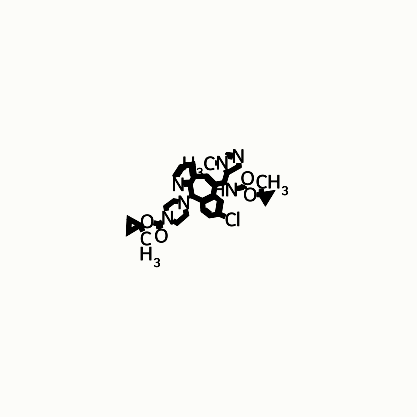 CN1C=NCC1[C@H](NC(=O)OC1(C)CC1)C1=Cc2cccnc2[C@@H](N2CCN(C(=O)OC3(C)CC3)CC2)c2ccc(Cl)cc21